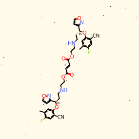 Cc1cc(O[C@H](CCNCCOC(=O)/C=C/C(=O)OCCNCC[C@@H](Oc2cc(C)c(F)cc2C#N)c2ccon2)c2ccon2)c(C#N)cc1F